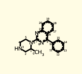 CC1CNCCN1c1nc(-c2ccccc2)c2ccccc2n1